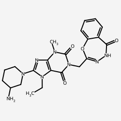 CCn1c(N2CCCC(N)C2)nc2c1c(=O)n(CC1=NNC(=O)c3ccccc3O1)c(=O)n2C